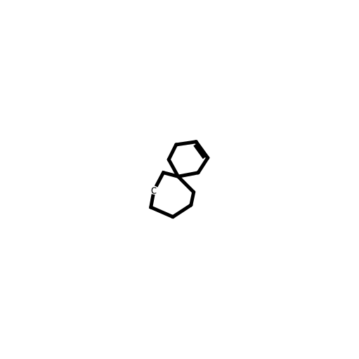 C1=CCC2(CC1)CCCCCC2